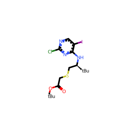 CC(C)(C)OC(=O)CSC[C@@H](Nc1nc(Cl)ncc1I)C(C)(C)C